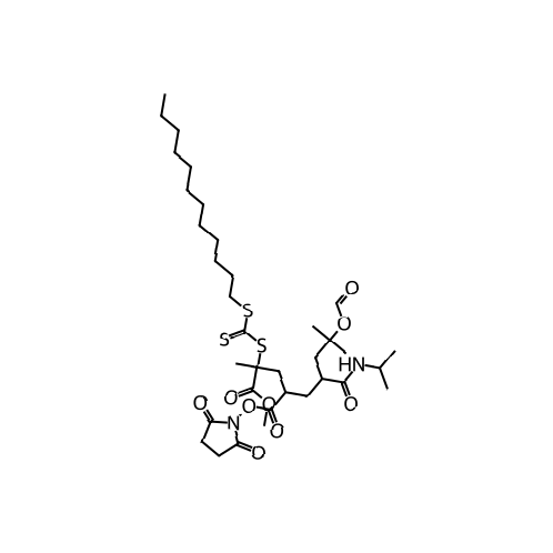 CCCCCCCCCCCCSC(=S)SC(C)(CC(CC(CC(C)(C)OC=O)C(=O)NC(C)C)C(=O)ON1C(=O)CCC1=O)C(=O)OC